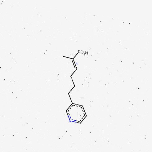 C/C(=C\CCCc1cccnc1)C(=O)O